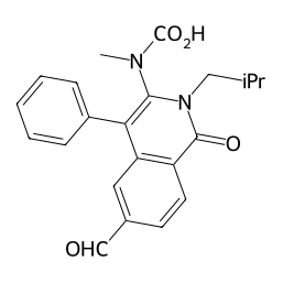 CC(C)Cn1c(N(C)C(=O)O)c(-c2ccccc2)c2cc(C=O)ccc2c1=O